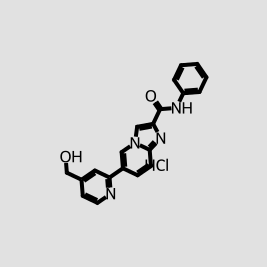 Cl.O=C(Nc1ccccc1)c1cn2cc(-c3cc(CO)ccn3)ccc2n1